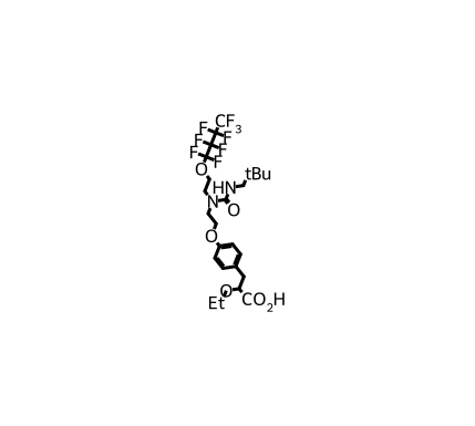 CCOC(Cc1ccc(OCCN(CCOC(F)(F)C(F)(F)C(F)(F)C(F)(F)F)C(=O)NCC(C)(C)C)cc1)C(=O)O